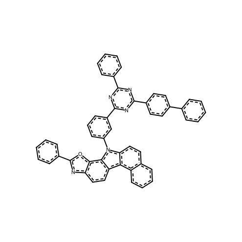 c1ccc(-c2ccc(-c3nc(-c4ccccc4)nc(-c4cccc(-n5c6ccc7ccccc7c6c6ccc7nc(-c8ccccc8)oc7c65)c4)n3)cc2)cc1